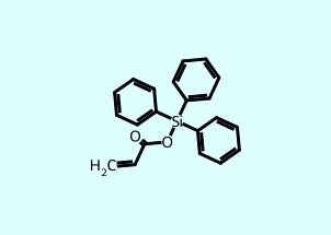 C=CC(=O)O[Si](c1ccccc1)(c1ccccc1)c1ccccc1